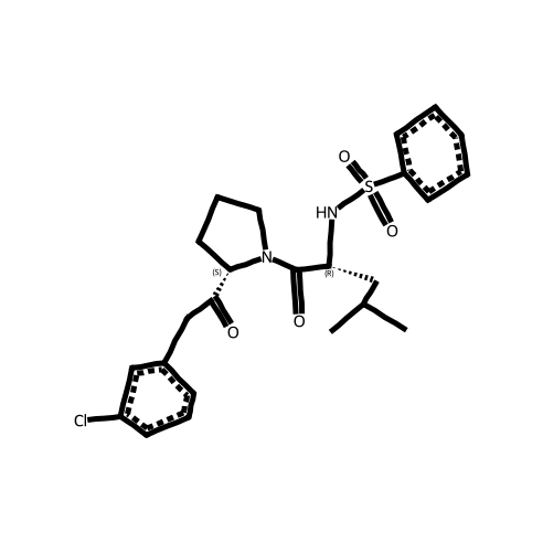 CC(C)C[C@@H](NS(=O)(=O)c1ccccc1)C(=O)N1CCC[C@H]1C(=O)[CH]c1cccc(Cl)c1